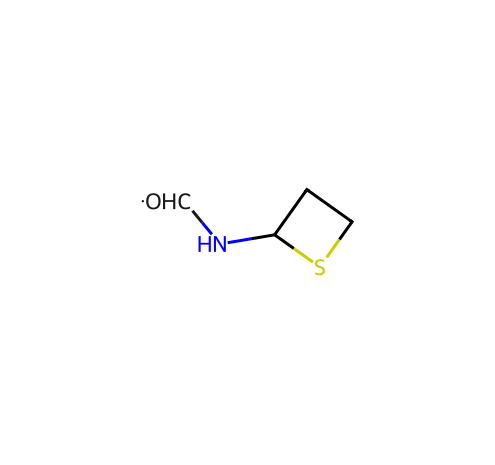 O=[C]NC1CCS1